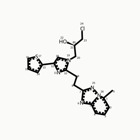 Cc1cccc2nc(CCc3nc(-c4cccs4)cn3C[C@@H](O)CCl)nn12